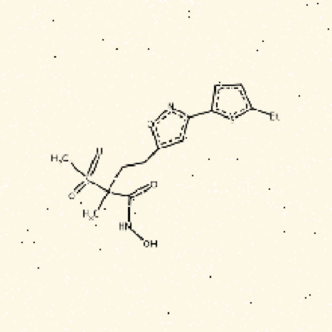 CCc1ccc(-c2cc(CCC(C)(C(=O)NO)S(C)(=O)=O)on2)s1